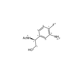 CC(=O)N[C@H](CO)c1ccc(F)c(N)c1